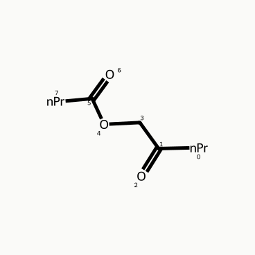 CCCC(=O)COC(=O)CCC